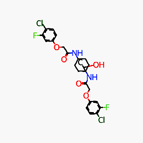 O=C(COc1ccc(Cl)c(F)c1)NC12CCC(NC(=O)COc3ccc(Cl)c(F)c3)(CC1)C(O)C2